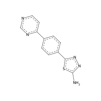 Nc1nnc(-c2ccc(-c3ccncn3)cc2)s1